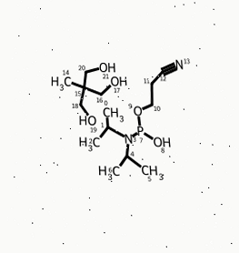 CC(C)N(C(C)C)P(O)OCCC#N.CC(CO)(CO)CO